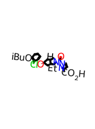 CC[C@]12C[C@H](Oc3cccc(OCC(C)C)c3Cl)C[C@H]1CN(C(=O)n1ccc(C(=O)O)n1)C2